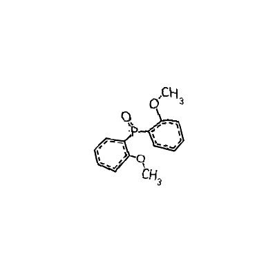 COc1ccccc1[P](=O)c1ccccc1OC